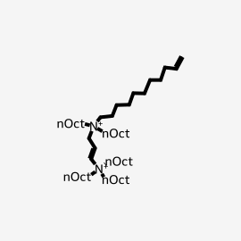 C=CCCCCCCCCC[N+](CC=C[N+](CCCCCCCC)(CCCCCCCC)CCCCCCCC)(CCCCCCCC)CCCCCCCC